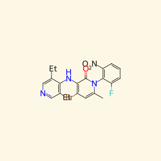 CCc1cncc(CC)c1Nc1c(Br)cc(C)n(-c2c(F)cccc2[N+](=O)[O-])c1=O